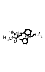 C=CCN[C@H]1CCCC(C[C@@]2(CCC3CCCCC3)NC(=N)N(C)C2=O)C1